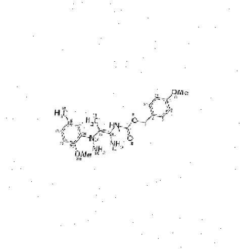 COc1ccc(COC(=O)N/C(N)=C(\C)N(N)c2cc(C)ccc2OC)cc1